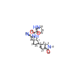 CN1Cc2cc(-c3ccc(CC(C#N)NC(=O)C4CNCCCO4)cc3)ccc2C1=O